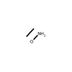 CC.N[O]